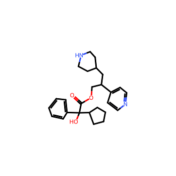 O=C(OCC(CC1CCNCC1)c1ccncc1)C(O)(c1ccccc1)C1CCCC1